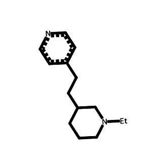 CCN1CCCC(CCc2ccncc2)C1